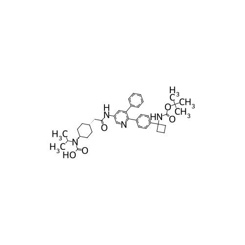 CC(C)N(C(=O)O)[C@H]1CC[C@H](CC(=O)Nc2cnc(-c3ccc(C4(NC(=O)OC(C)(C)C)CCC4)cc3)c(-c3ccccc3)c2)CC1